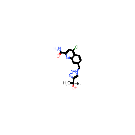 CC[C@@](C)(O)c1cn(Cc2ccc3c(Cl)cc(C(N)=O)nc3c2)nn1